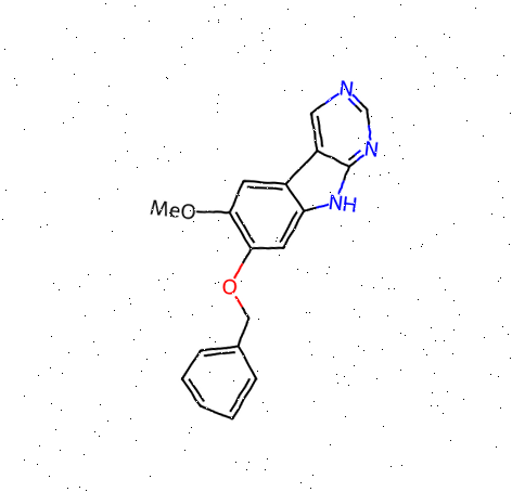 COc1cc2c(cc1OCc1ccccc1)[nH]c1ncncc12